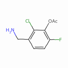 CC(=O)Oc1c(F)ccc(CN)c1Cl